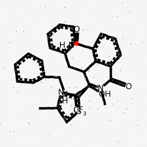 Cc1csc(CN(C)C(=O)c2cccc(C(N)=O)c2C(Cc2ccccc2)C(O)C(NCc2ccccc2)C(F)(F)F)n1